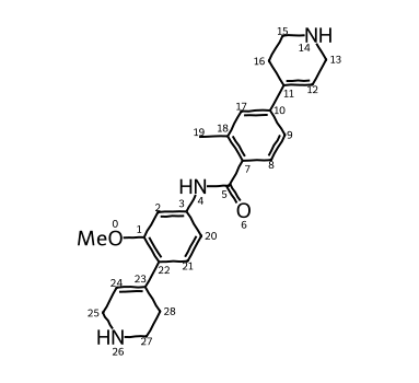 COc1cc(NC(=O)c2ccc(C3=CCNCC3)cc2C)ccc1C1=CCNCC1